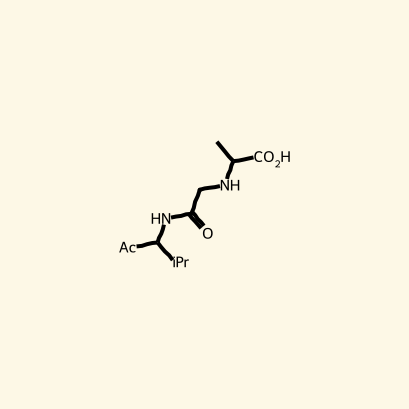 CC(=O)C(NC(=O)CNC(C)C(=O)O)C(C)C